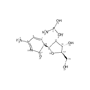 NP(O)O.Nc1ccn([C@H]2C[C@H](O)[C@@H](CO)O2)c(=O)n1